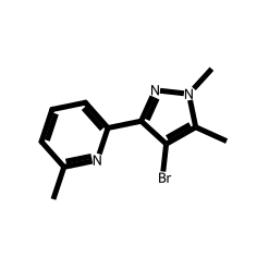 Cc1cccc(-c2nn(C)c(C)c2Br)n1